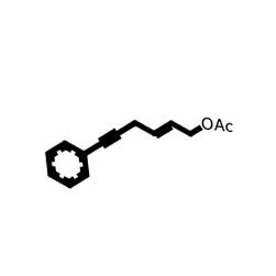 CC(=O)OCC=CCC#Cc1ccccc1